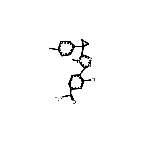 Cn1c(-c2ccc(C(N)=O)cc2Cl)nnc1C1(c2ccc(F)cc2)CC1